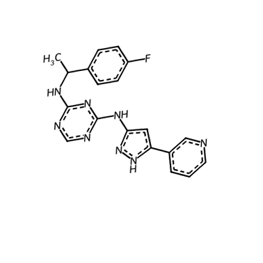 CC(Nc1ncnc(Nc2cc(-c3cccnc3)[nH]n2)n1)c1ccc(F)cc1